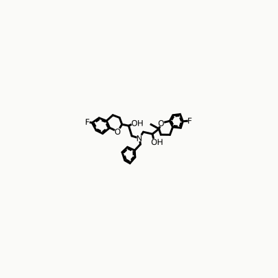 CC1(C(O)CN(Cc2ccccc2)CC(O)C2CCc3cc(F)ccc3O2)CCc2cc(F)ccc2O1